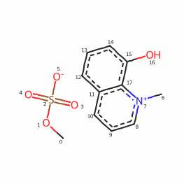 COS(=O)(=O)[O-].C[n+]1cccc2cccc(O)c21